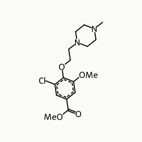 COC(=O)c1cc(Cl)c(OCCN2CCN(C)CC2)c(OC)c1